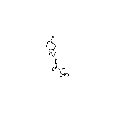 C[C@@H](NC(=O)C1CC1C=O)c1cc2cc(F)ccc2o1